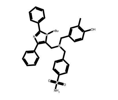 CCCCn1c(-c2ccccc2)nc(-c2ccccc2)c1CN(Cc1ccc(S(N)(=O)=O)cc1)Cc1ccc(O)c(C)c1